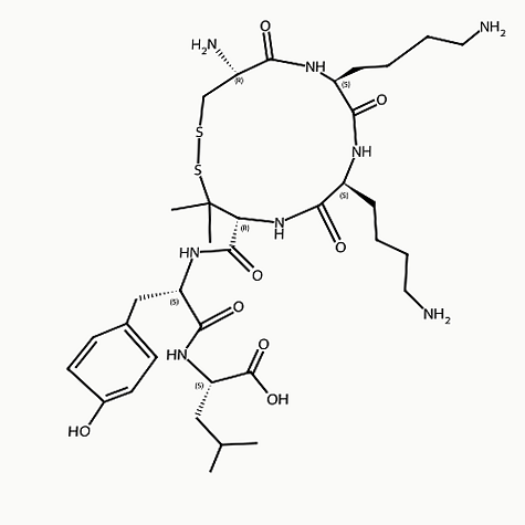 CC(C)C[C@H](NC(=O)[C@H](Cc1ccc(O)cc1)NC(=O)[C@H]1NC(=O)[C@H](CCCCN)NC(=O)[C@H](CCCCN)NC(=O)[C@@H](N)CSSC1(C)C)C(=O)O